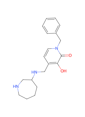 O=c1c(O)c(CNC2CCCCNC2)ccn1Cc1ccccc1